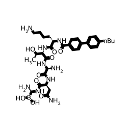 CCCCc1ccc(-c2ccc(C(=O)N[C@@H](CCCCN)C(=O)N[C@H](C(=O)N[C@@H](N)C(=O)N[C@@H](CC(N)=O)C(=O)N[C@@H](N)B(O)O)[C@@H](C)O)cc2)cc1